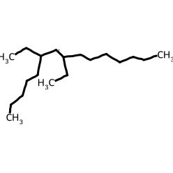 CCCCCCCC([CH]C(CC)CCCCC)CC